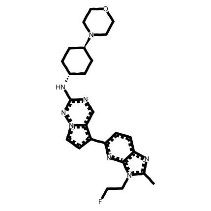 Cc1nc2ccc(-c3ccn4nc(N[C@H]5CC[C@H](N6CCOCC6)CC5)ncc34)nc2n1CCF